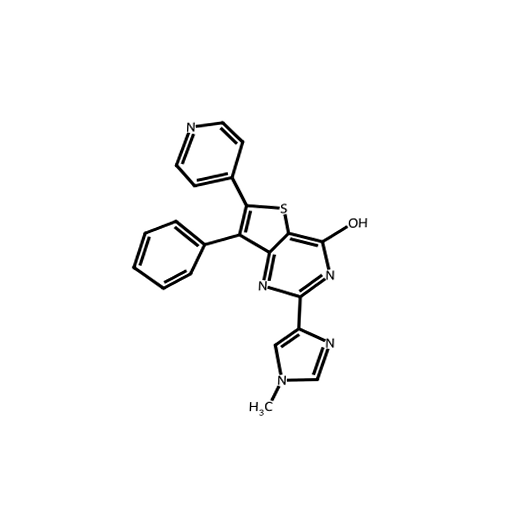 Cn1cnc(-c2nc(O)c3sc(-c4ccncc4)c(-c4ccccc4)c3n2)c1